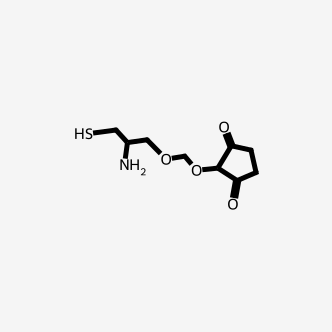 NC(CS)COCOC1C(=O)CCC1=O